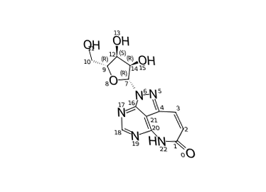 O=C1C=Cc2nn([C@@H]3O[C@H](CO)[C@@H](O)[C@H]3O)c3ncnc(c23)N1